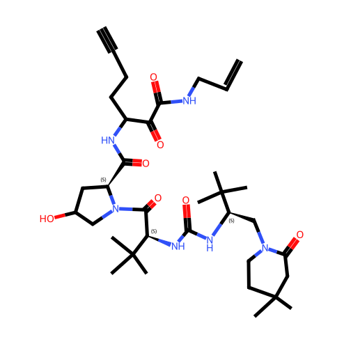 C#CCCC(NC(=O)[C@@H]1CC(O)CN1C(=O)[C@@H](NC(=O)N[C@H](CN1CCC(C)(C)CC1=O)C(C)(C)C)C(C)(C)C)C(=O)C(=O)NCC=C